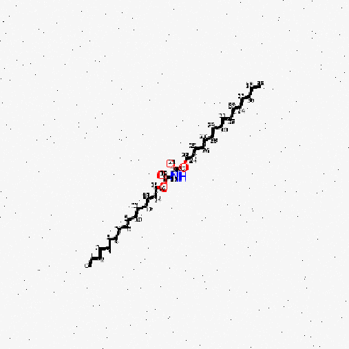 CCCCCCCCCCCCCCCCOC(=O)NC(=O)OCCCCCCCCCCCCCCCC